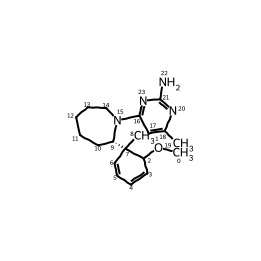 COC1C=CC=CC1(C)[C@@H]1CCCCCN1c1cc(C)nc(N)n1